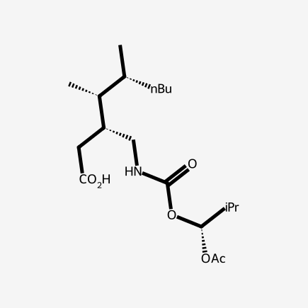 CCCC[C@@H](C)[C@@H](C)[C@H](CNC(=O)O[C@@H](OC(C)=O)C(C)C)CC(=O)O